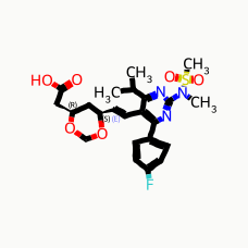 CC(C)c1nc(N(C)S(C)(=O)=O)nc(-c2ccc(F)cc2)c1/C=C/[C@@H]1C[C@H](CC(=O)O)OCO1